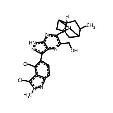 CC1C[C@@H]2C3CN2CC1N3c1nc2[nH]nc(-c3ccc4nn(C)c(Cl)c4c3Cl)c2nc1CO